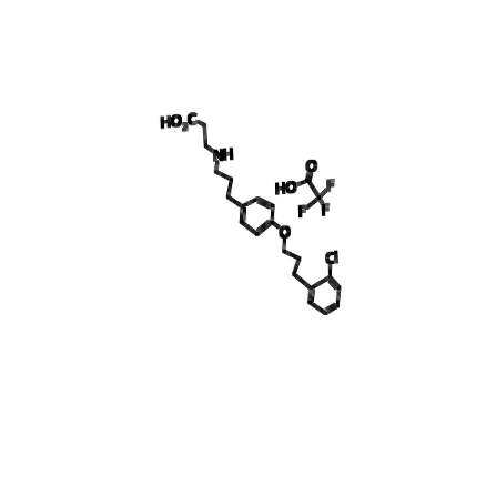 O=C(O)C(F)(F)F.O=C(O)CCNCCCc1ccc(OCCCc2ccccc2Cl)cc1